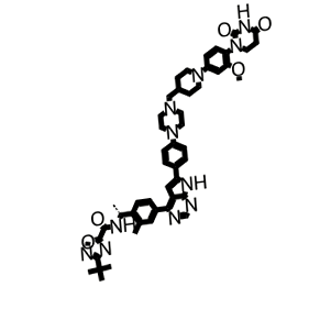 COc1cc(N2CCC(CN3CCN(c4ccc(-c5cc6c(-c7ccc([C@@H](C)NC(=O)c8nc(C(C)(C)C)no8)c(C)c7)ncnc6[nH]5)cc4)CC3)CC2)ccc1N1CCC(=O)NC1=O